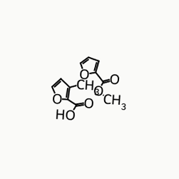 COC(=O)c1ccco1.Cc1ccoc1C(=O)O